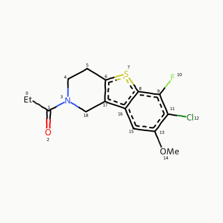 CCC(=O)N1CCc2sc3c(F)c(Cl)c(OC)cc3c2C1